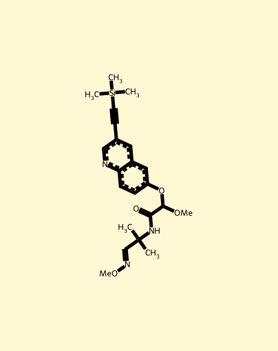 CO/N=C/C(C)(C)NC(=O)C(OC)Oc1ccc2ncc(C#C[Si](C)(C)C)cc2c1